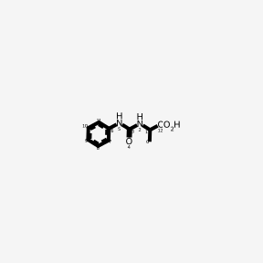 CC(NC(=O)Nc1ccccc1)C(=O)O